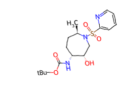 C[C@@H]1CC[C@@H](NC(=O)OC(C)(C)C)[C@@H](O)CN1S(=O)(=O)c1ccccn1